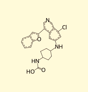 O=C(O)NC1CCC(Nc2cc(Cl)c3cncc(-c4cc5ccccc5o4)c3c2)CC1